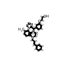 Cc1cccc(C)c1-n1nnnc1C(c1cccc(OCCO)c1)N1CCN(CC=Cc2ccccc2)CC1